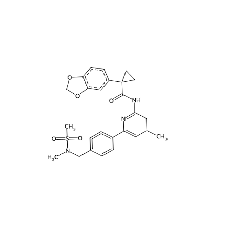 CC1C=C(C2=C=C=C(CN(C)S(C)(=O)=O)C=C2)N=C(NC(=O)C2(c3ccc4c(c3)OCO4)CC2)C1